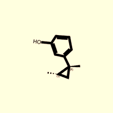 C[C@H]1C[C@@]1(C)c1cccc(O)c1